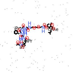 COC1C(OC(=O)NCCOCCOCCNC(=O)CNC(=O)[C@H](CC(C)C)NC(=O)[C@@H](Cc2ccccc2)NC(=O)CNC(=O)C(C)(CC(C)(CC(C)C)C(=O)NCC(C)O)C(C)C)CC[C@]2(CO2)C1[C@]1(C)O[C@@H]1CC=C(C)C